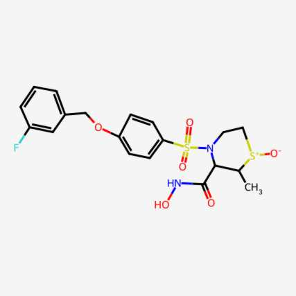 CC1C(C(=O)NO)N(S(=O)(=O)c2ccc(OCc3cccc(F)c3)cc2)CC[S+]1[O-]